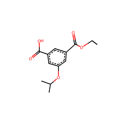 CCOC(=O)c1cc(OC(C)C)cc(C(=O)O)c1